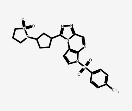 Cc1ccc(S(=O)(=O)n2ccc3c2ncc2nnc(C4CCC(N5CCCS5(=O)=O)C4)n23)cc1